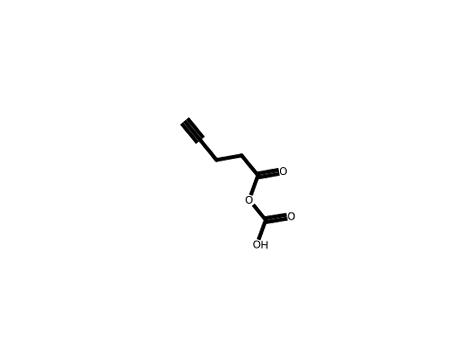 C#CCCC(=O)OC(=O)O